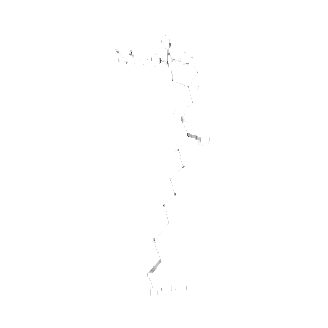 CCCCCCCC/C=C/CCCCCCCC(=O)OCC1COP(=O)(OC)C1